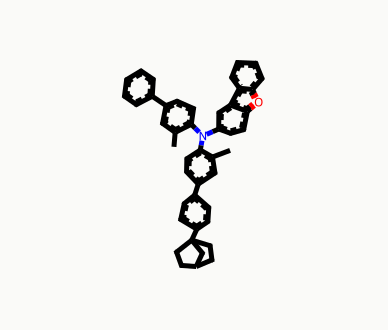 Cc1cc(-c2ccccc2)ccc1N(c1ccc2oc3ccccc3c2c1)c1ccc(-c2ccc(C34CCC(CC3)C4)cc2)cc1C